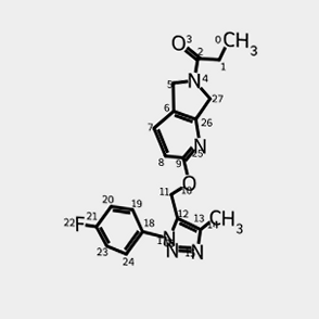 CCC(=O)N1Cc2ccc(OCc3c(C)nnn3-c3ccc(F)cc3)nc2C1